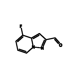 O=Cc1cc2c(F)cccn2n1